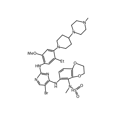 CCc1cc(Nc2ncc(Br)c(Nc3ccc4c(c3N(C)[SH](=O)=O)OCCO4)n2)c(OC)cc1N1CCC(N2CCN(C)CC2)CC1